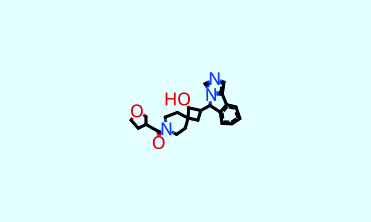 O=C(C1CCOC1)N1CCC2(CC1)CC(C1c3ccccc3-c3cncn31)C2O